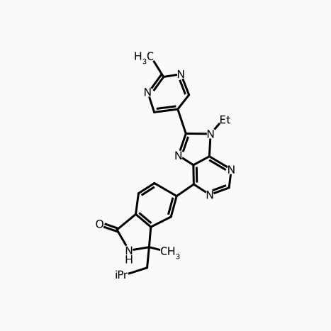 CCn1c(-c2cnc(C)nc2)nc2c(-c3ccc4c(c3)C(C)(CC(C)C)NC4=O)ncnc21